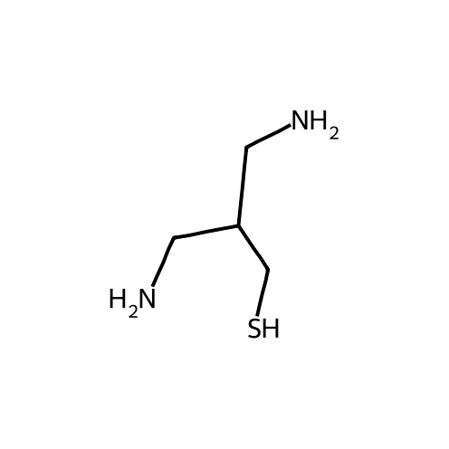 NCC(CN)CS